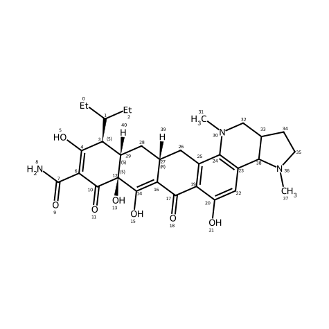 CCC(CC)[C@@H]1C(O)=C(C(N)=O)C(=O)[C@@]2(O)C(O)=C3C(=O)c4c(O)cc5c(c4C[C@H]3C[C@@H]12)N(C)CC1CCN(C)C51